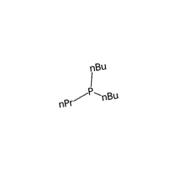 CCCCP(CCC)CCCC